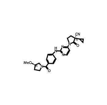 CO[C@@H]1CCN(C(=O)c2ccc(Nc3nccc(N4CC[C@@](C#N)(C5CC5)C4=O)n3)cc2)C1